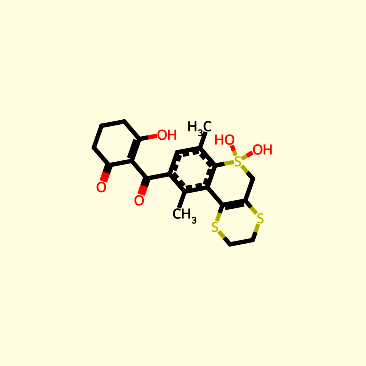 Cc1cc(C(=O)C2=C(O)CCCC2=O)c(C)c2c1S(O)(O)CC1=C2SCCS1